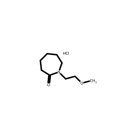 COCCN1CCCCCC1=O.Cl